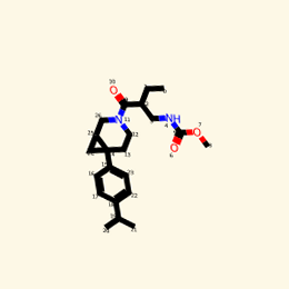 CCC(CNC(=O)OC)C(=O)N1CCC2(c3ccc(C(C)C)cc3)CC2C1